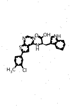 Cc1ccc(-c2cc3c(N[C@H](Cc4c[nH]c5ccccc45)C(=O)O)ncnc3s2)cc1Cl